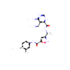 Cc1ccc(NC(=O)c2cc([C@H](C)NC(=O)c3ncnc(N)c3CN)no2)cc1C(F)(F)F